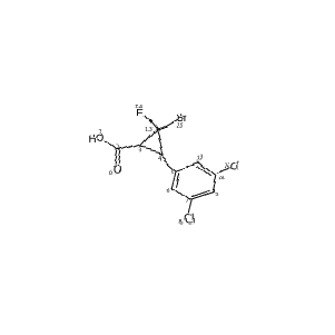 O=C(O)C1C(c2cc(Cl)cc(Cl)c2)C1(F)Br